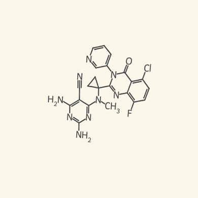 CN(c1nc(N)nc(N)c1C#N)C1(c2nc3c(F)ccc(Cl)c3c(=O)n2-c2cccnc2)CC1